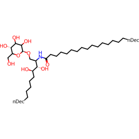 CCCCCCCCCCCCCCCCCCCCCCCCCC(=O)NC(CO[C@H]1OC(CO)[C@H](O)C(O)C1O)[C@H](O)[C@H](O)CCCCCCCCCCCCCCC